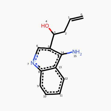 C=CCC(O)c1cnc2ccccc2c1N